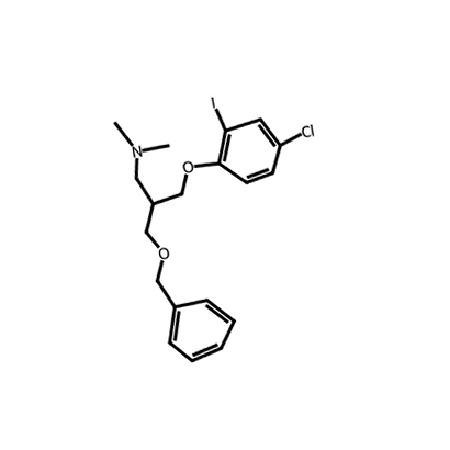 CN(C)CC(COCc1ccccc1)COc1ccc(Cl)cc1I